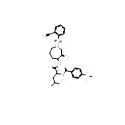 CC(C)CC(NC(=O)c1ccc(S(C)(=O)=O)cc1)C(=O)NC1CCCN(S(=O)(=O)c2ccccc2C#N)CC1=O